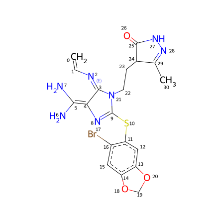 C=C/N=C1\C(=C(N)N)N=C(Sc2cc3c(cc2Br)OCO3)N1CCC1C(=O)NN=C1C